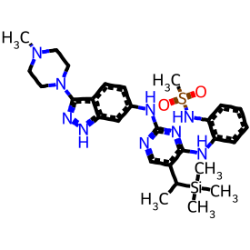 CC(c1cnc(Nc2ccc3c(N4CCN(C)CC4)n[nH]c3c2)nc1Nc1ccccc1NS(C)(=O)=O)[Si](C)(C)C